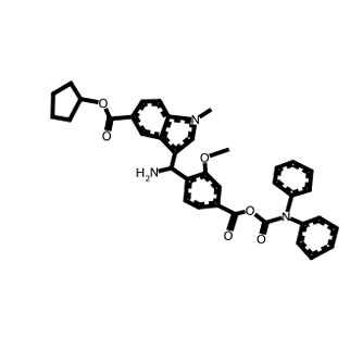 COc1cc(C(=O)OC(=O)N(c2ccccc2)c2ccccc2)ccc1C(N)c1cn(C)c2ccc(C(=O)OC3CCCC3)cc12